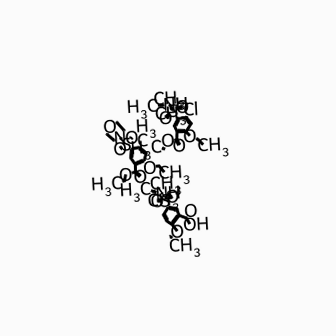 CCOC(=O)c1cc(S(=O)(=O)N2CCOCC2)c(C)cc1OCC.CCOC(=O)c1cc(S(=O)(=O)NC(C)(C)C)c(Cl)cc1OCC.CCOc1ccc(S(=O)(=O)NC(C)(C)C)cc1C(=O)O